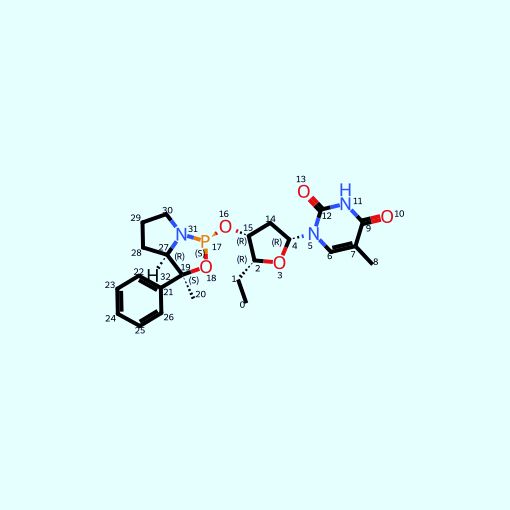 CC[C@H]1O[C@@H](n2cc(C)c(=O)[nH]c2=O)C[C@H]1O[P@]1O[C@@](C)(c2ccccc2)[C@H]2CCCN21